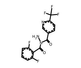 NN(C(=O)c1ccc(C(F)(F)F)nc1)C(=O)c1c(F)cccc1F